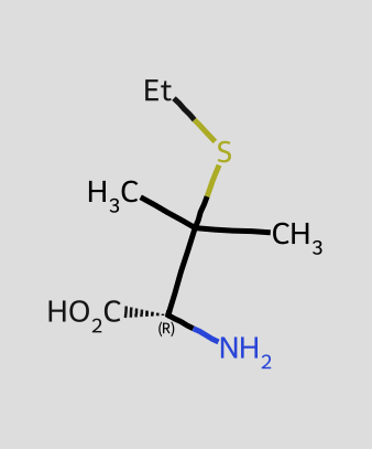 CCSC(C)(C)[C@H](N)C(=O)O